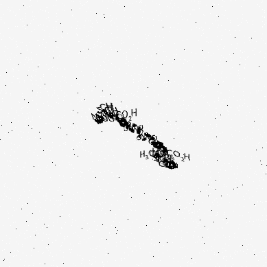 CC1(C)SCN(Oc2cccnc2)[C@@H]1C(=O)N[C@@H](Cc1ccc(OC(=O)N2CCN(C(=O)COC(=O)N3CCN(C(=O)Oc4ccc(C[C@H](NC(=O)[C@H]5N(S(=O)(=O)c6cccnc6)CSC5(C)C)C(=O)O)cc4)CC3)CC2)cc1)C(=O)O